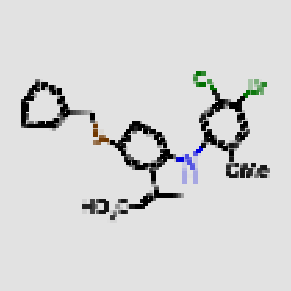 COc1cc(Br)c(Cl)cc1Nc1ccc(SCc2ccccc2)cc1/C(C)=C\C(=O)O